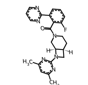 Cc1cc(C)nc(N2C[C@@H]3CCN(C(=O)c4c(F)cccc4-c4ncccn4)C[C@@H]32)n1